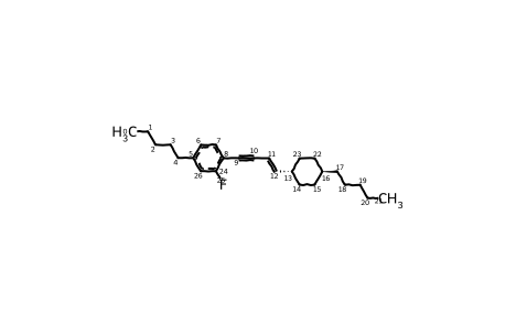 CCCCCc1ccc(C#CC=C[C@H]2CC[C@H](CCCCC)CC2)c(F)c1